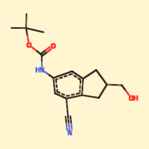 CC(C)(C)OC(=O)Nc1cc(C#N)c2c(c1)CC(CO)C2